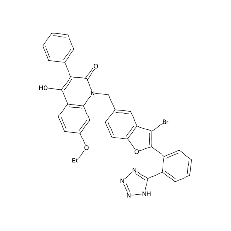 CCOc1ccc2c(O)c(-c3ccccc3)c(=O)n(Cc3ccc4oc(-c5ccccc5-c5nnn[nH]5)c(Br)c4c3)c2c1